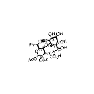 CC(=O)OC1O[C@H]([C@@H](OC(C)=O)C(C)C)[C@H](OC(C)=O)[C@H](CC(=O)O)[C@@H]1OC(C)=O.CC(C)[C@H](O)[C@H]1OC(O)[C@@H](O)[C@@H](O)[C@@H]1O